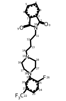 O=C1c2ccccc2C(=O)N1CCCCN1CCN(c2cc(C(F)(F)F)ccc2F)CC1